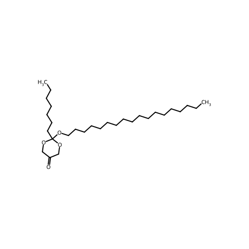 CCCCCCCCCCCCCCCCCCOC1(CCCCCCC)OCC(=O)CO1